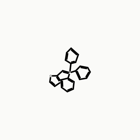 C(c1ncco1)=P(c1ccccc1)(c1ccccc1)c1ccccc1